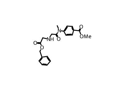 COC(=O)c1ccc(N(C)C(=O)CNCC(=O)OCc2ccccc2)cc1